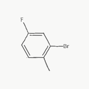 Cc1[c]cc(F)cc1Br